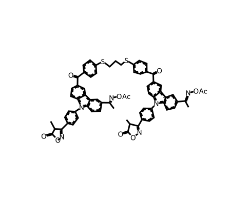 CC(=O)ON=C(C)c1ccc2c(c1)c1cc(C(=O)c3ccc(SCCCSc4ccc(C(=O)c5ccc6c(c5)c5cc(C(C)=NOC(C)=O)ccc5n6-c5ccc(C6=NOC(=O)C6C)cc5)cc4)cc3)ccc1n2-c1ccc(C2=NOC(=O)C2C)cc1